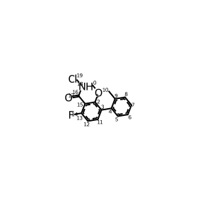 COc1c(-c2ccccc2C)ccc(F)c1C(=O)NCl